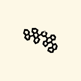 c1ccc2c(-c3c4ccccc4c(-c4cncc(-c5c6ccccc6c(-c6cccc7ccccc67)c6ccccc56)c4)c4ccccc34)cccc2c1